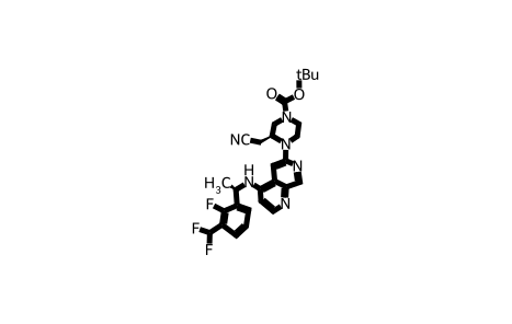 C[C@@H](Nc1ccnc2cnc(N3CCN(C(=O)OC(C)(C)C)C[C@@H]3CC#N)cc12)c1cccc(C(F)F)c1F